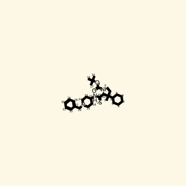 CCC(C)(C1CCCCC1)[C@@H](NC(=O)OC(C)(C)C)C(=S)NC1CCN(Cc2ccccc2)CC1